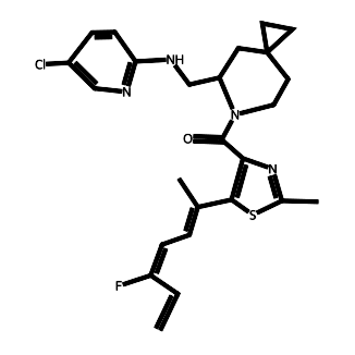 C=C/C(F)=C\C=C(/C)c1sc(C)nc1C(=O)N1CCC2(CC2)CC1CNc1ccc(Cl)cn1